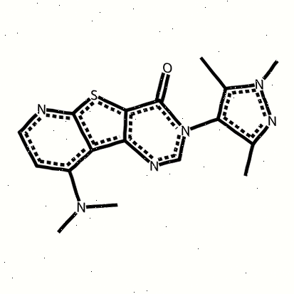 Cc1nn(C)c(C)c1-n1cnc2c(sc3nccc(N(C)C)c32)c1=O